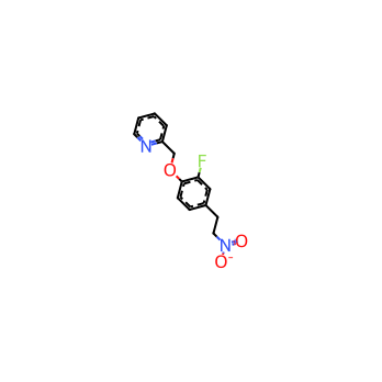 O=[N+]([O-])CCc1ccc(OCc2ccccn2)c(F)c1